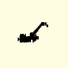 CCCCCCCCCCCCCCCCCC(=O)NC[C@H](COP(=O)(O)OC[C@H]1O[C@@](C)(c2ccc3c(N)ncnn23)[C@H](O)[C@@H]1O)OCc1cc(F)cc(C#N)c1